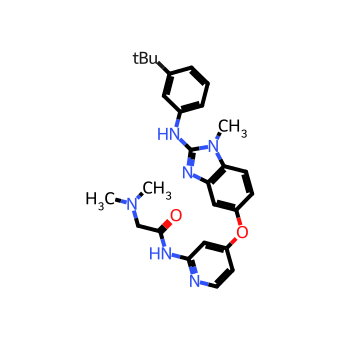 CN(C)CC(=O)Nc1cc(Oc2ccc3c(c2)nc(Nc2cccc(C(C)(C)C)c2)n3C)ccn1